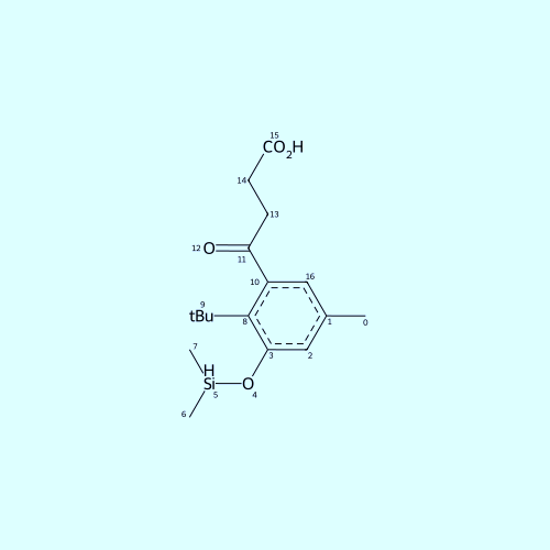 Cc1cc(O[SiH](C)C)c(C(C)(C)C)c(C(=O)CCC(=O)O)c1